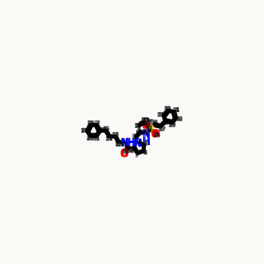 CC(C)C[C@@H](CN1CCC[C@H]1C(=O)NCCCCc1ccccc1)NS(=O)(=O)C=Cc1ccccc1